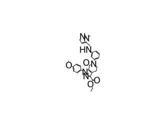 CCOC(=O)c1nn(-c2ccc(OC)cc2)c2c1CCN(c1cccc(NCc3ccnn3C)c1)C2=O